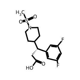 CS(=O)(=O)N1CCC([C@@H](CC(=O)O)c2cc(F)cc(F)c2)CC1